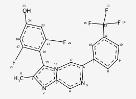 Cc1nc2cnc(-c3cccc(C(F)(F)F)c3)cn2c1-c1c(F)cc(O)cc1F